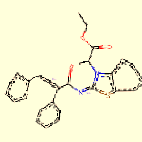 CCOC(=O)C(C)n1/c(=N\C(=O)/C(=C/c2ccccc2)c2ccccc2)sc2ccccc21